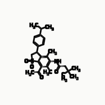 CC(=O)c1c(C)c(NC(=O)CC(C)(C)C)c(C)c2c1S(=O)(=O)CC2c1ccc(C(C)C)cc1